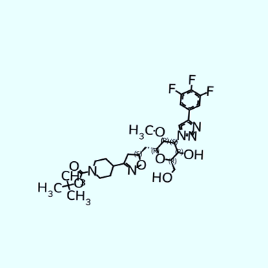 CO[C@@H]1[C@@H](n2cc(-c3cc(F)c(F)c(F)c3)nn2)[C@@H](O)[C@@H](CO)O[C@@H]1C[C@@H]1CC(C2CCN(C(=O)OC(C)(C)C)CC2)=NO1